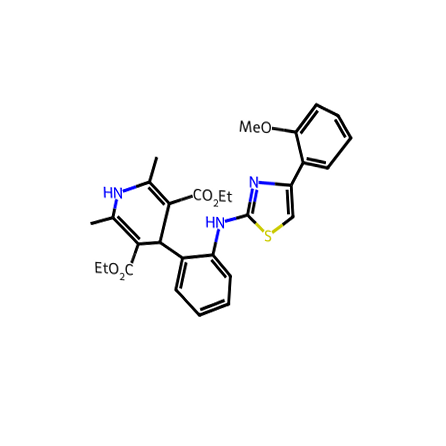 CCOC(=O)C1=C(C)NC(C)=C(C(=O)OCC)C1c1ccccc1Nc1nc(-c2ccccc2OC)cs1